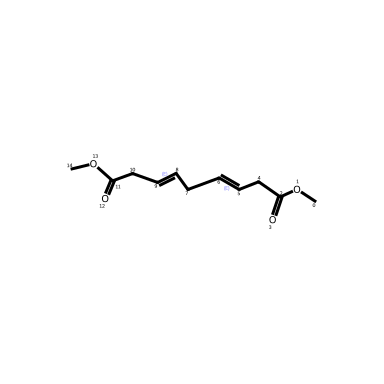 COC(=O)C/C=C/C/C=C/CC(=O)OC